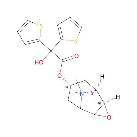 C[N+]1(C)C2C[C@H](OC(=O)C(O)(c3cccs3)c3cccs3)C[C@H]1[C@H]1OC21